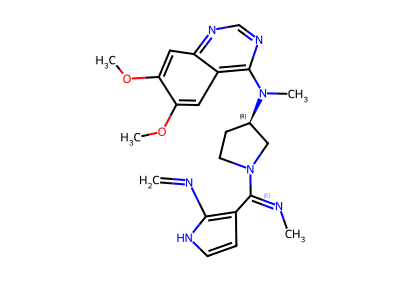 C=Nc1[nH]ccc1/C(=N\C)N1CC[C@@H](N(C)c2ncnc3cc(OC)c(OC)cc23)C1